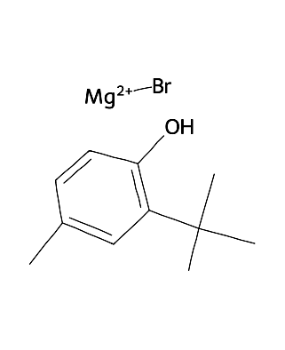 Cc1ccc(O)c(C(C)(C)C)c1.[Mg+2][Br]